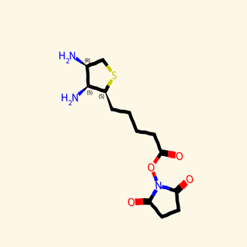 N[C@@H]1[C@H](CCCCC(=O)ON2C(=O)CCC2=O)SC[C@@H]1N